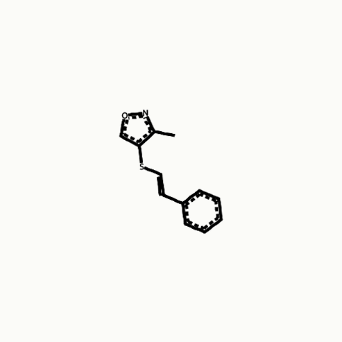 Cc1nocc1SC=Cc1ccccc1